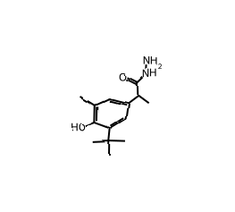 Cc1cc(C(C)C(=O)NN)cc(C(C)(C)C)c1O